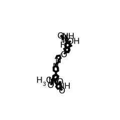 Cn1c(=O)n(C2CCC(=O)NC2=O)c2ccc(C3CCN(CCN4CC[C@H](COc5ccc6cc(O)c(N7CC(=O)NS7)c(F)c6c5)C4)CC3)cc21